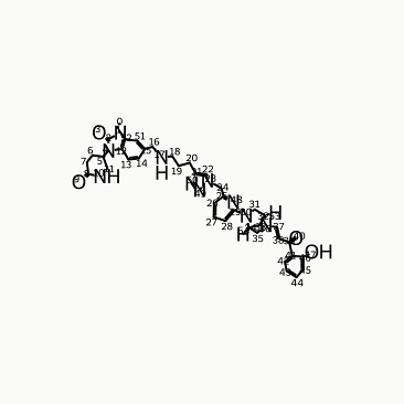 Cn1c(=O)n(C2CCC(=O)NC2)c2ccc(CNCCCc3cn(Cc4cccc(N5C[C@H]6C[C@@H]5CN6/C=C/C(=O)c5ccccc5O)n4)nn3)cc21